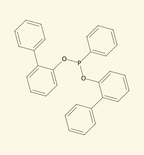 c1ccc(-c2ccccc2OP(Oc2ccccc2-c2ccccc2)c2ccccc2)cc1